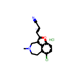 CN1CCc2c(Cl)ccc3oc(/C=C/C#N)c(c23)C1.Cl